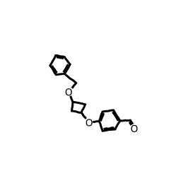 O=Cc1ccc(OC2CC(OCc3ccccc3)C2)cc1